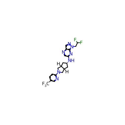 FC(F)Cn1ncc2ncc(N[C@@H]3C[C@@H]4CN(c5ccc(C(F)(F)F)cn5)C[C@@H]4C3)nc21